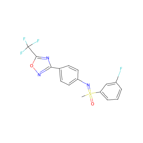 CS(=O)(=Nc1ccc(-c2noc(C(F)(F)F)n2)cc1)c1cccc(F)c1